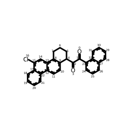 O=C(C(=O)C1CCCc2c1ccc1c2cc(Cl)c2ccccc21)c1cccc2ccccc12